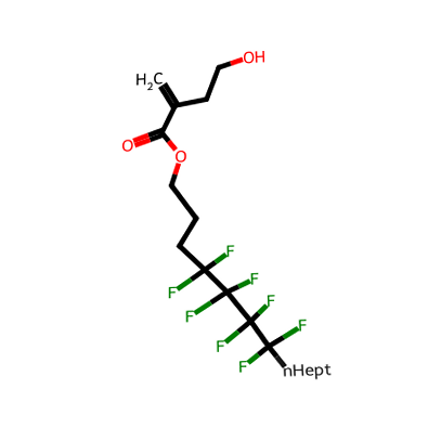 C=C(CCO)C(=O)OCCCC(F)(F)C(F)(F)C(F)(F)C(F)(F)CCCCCCC